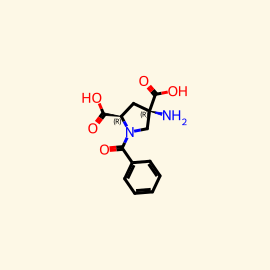 N[C@]1(C(=O)O)C[C@H](C(=O)O)N(C(=O)c2ccccc2)C1